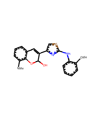 CNc1cccc2c1OC(O)C(c1csc(Nc3ccccc3OC)n1)=C2